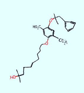 CC(C)(O)CCCCCCCCOc1cc(C(=O)O)c(OC(C)(C)Cc2ccccc2)cc1C(=O)O